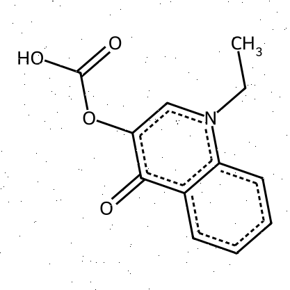 CCn1cc(OC(=O)O)c(=O)c2ccccc21